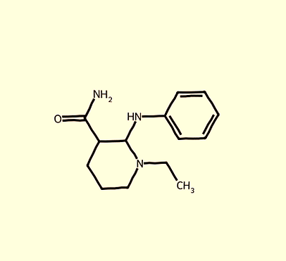 CCN1CCCC(C(N)=O)C1Nc1ccccc1